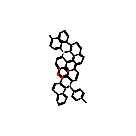 Cc1ccc(N(c2c(-c3ccccc3)ccc3ccccc23)c2ccc3ccc4c(N(c5ccc(C)cc5)c5c(-c6ccccc6)ccc6ccccc56)ccc5ccc2c3c54)cc1